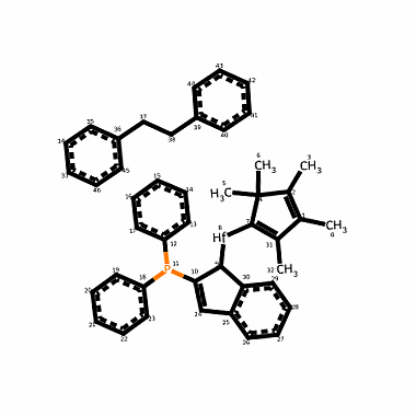 CC1=C(C)C(C)(C)[C]([Hf][CH]2C(P(c3ccccc3)c3ccccc3)=Cc3ccccc32)=C1C.c1ccc(CCc2ccccc2)cc1